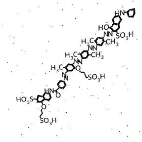 Cc1cc(N=Nc2cc(C)c(N=Nc3cc(C)c(N=Nc4c(S(=O)(=O)O)cc5cc(Nc6ccccc6)ccc5c4O)cc3C)cc2C)c(OCCCS(=O)(=O)O)cc1N=Nc1ccc(C(=O)Nc2ccc3c(OCCCS(=O)(=O)O)cc(S(=O)(=O)O)cc3c2)cc1